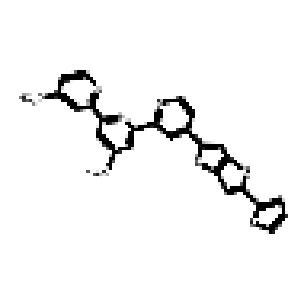 O=C(O)c1ccnc(-c2cc(C(=O)O)cc(-c3cc(-c4cc5sc(-c6cccs6)cc5s4)ccn3)n2)c1